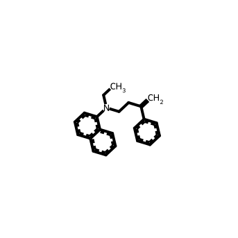 C=C(CCN(CC)c1cccc2ccccc12)c1ccccc1